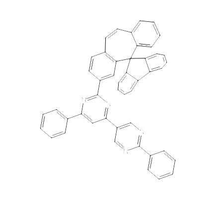 C1=Cc2ccc(-c3nc(-c4ccccc4)cc(-c4cnc(-c5ccccc5)nc4)n3)cc2C2(c3ccccc31)c1ccccc1-c1ccccc12